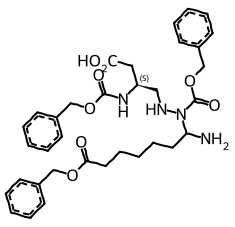 NC(CCCCCC(=O)OCc1ccccc1)N(NC[C@H](CC(=O)O)NC(=O)OCc1ccccc1)C(=O)OCc1ccccc1